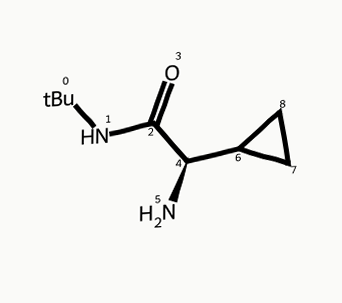 CC(C)(C)NC(=O)[C@H](N)C1CC1